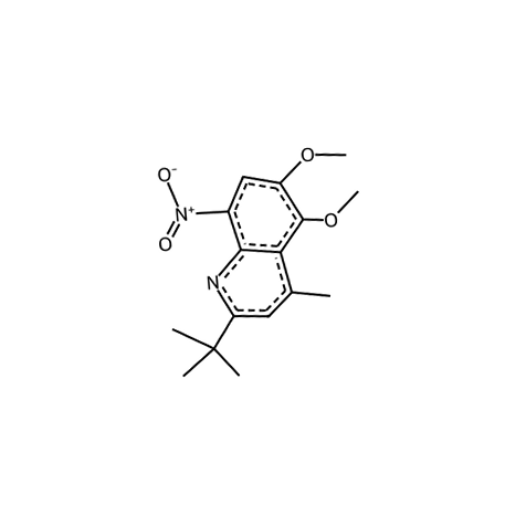 COc1cc([N+](=O)[O-])c2nc(C(C)(C)C)cc(C)c2c1OC